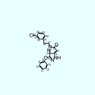 O=c1cc2[nH]nc(Oc3ccccc3)c2nn1CCc1cccc(Cl)c1